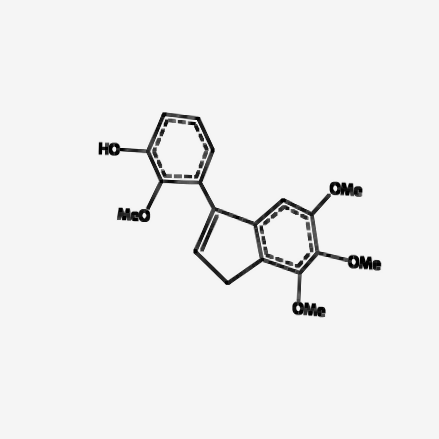 COc1cc2c(c(OC)c1OC)CC=C2c1cccc(O)c1OC